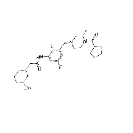 Cc1c(CN2CCN(C(=O)C3CCCC3)C(C)C2)cc(F)cc1NC(=O)CC1CCCC(O)C1